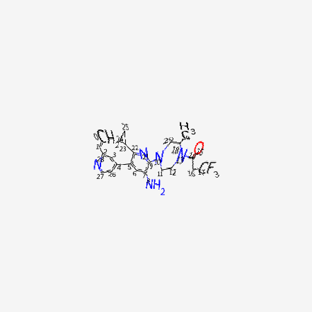 C=Cc1cc(-c2cc(N)c(N3CCN(C(=O)CC(F)(F)F)[C@H](C)C3)nc2C2CC2)ccn1